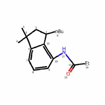 CCCCC1CC(C)(C)c2cccc(NC(=O)CC)c21